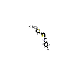 CCCCCCc1ccc(-c2ccc(/C=C/c3ccc(C)cc3)s2)s1